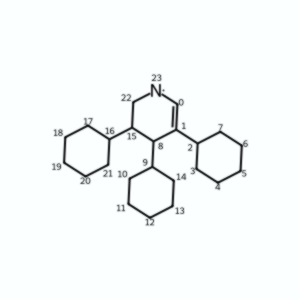 C1=C(C2CCCCC2)C(C2CCCCC2)C(C2CCCCC2)C[N]1